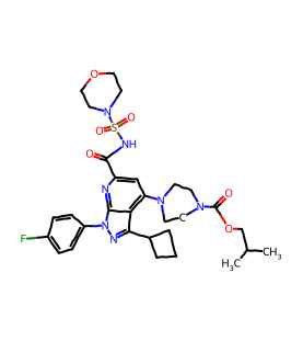 CC(C)COC(=O)N1CCN(c2cc(C(=O)NS(=O)(=O)N3CCOCC3)nc3c2c(C2CCC2)nn3-c2ccc(F)cc2)CC1